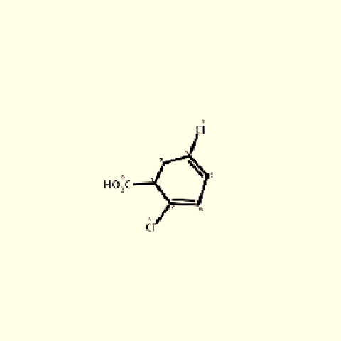 O=C(O)C1CC(Cl)=CC=C1Cl